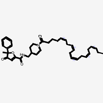 CC/C=C\C/C=C\C/C=C\C/C=C\C/C=C\CCCC(=O)N1CCC(CNC(=O)C2=CC(=O)C(C)(c3ccccc3)O2)CC1